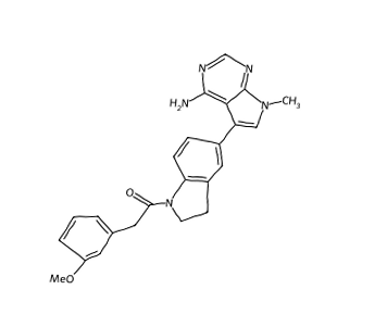 COc1cccc(CC(=O)N2CCc3cc(-c4cn(C)c5ncnc(N)c45)ccc32)c1